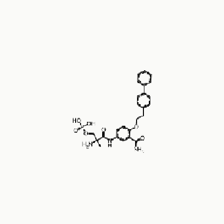 CC(N)(COP(=O)(O)O)C(=O)Nc1ccc(OCCc2ccc(-c3ccccc3)cc2)c(C(N)=O)c1